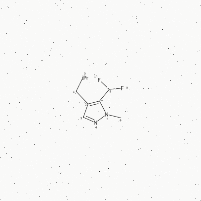 CC(C)Cc1cnn(C)c1C(F)F